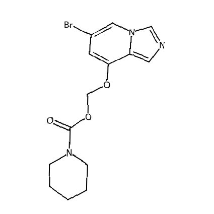 O=C(OCOc1cc(Br)cn2cncc12)N1CCCCC1